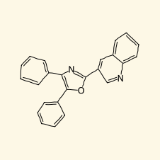 c1ccc(-c2nc(-c3cnc4ccccc4c3)oc2-c2ccccc2)cc1